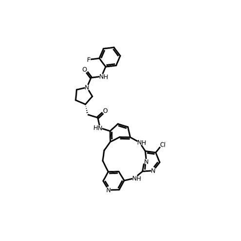 O=C(C[C@@H]1CCN(C(=O)Nc2ccccc2F)C1)Nc1ccc2cc1CCc1cncc(c1)Nc1ncc(Cl)c(n1)N2